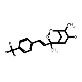 CC1C(=O)CC2CC1OOC2(C)C=Cc1ccc(C(F)(F)F)cc1